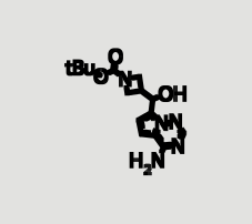 CC(C)(C)OC(=O)N1CC(C(O)c2ccc3c(N)ncnn23)C1